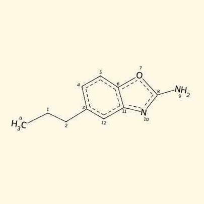 CCCc1ccc2oc(N)nc2c1